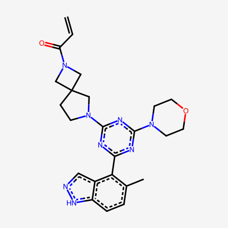 C=CC(=O)N1CC2(CCN(c3nc(-c4c(C)ccc5[nH]ncc45)nc(N4CCOCC4)n3)C2)C1